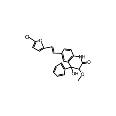 COC1C(=O)Nc2ccc(C=Cc3ccc(Cl)o3)cc2C1(O)c1ccccc1